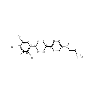 CCCOc1ccc(C2CCC(c3cc(F)c(F)nc3F)CC2)cc1